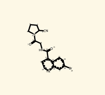 N#CC1CCCN1C(=O)CNC(=O)c1ccnc2cc(Br)ccc12